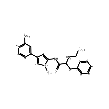 COc1cc(-c2cc(NC(=O)C(Cc3ccccc3)NCC(=O)O)n(C)n2)ccn1